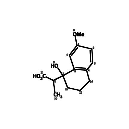 COc1ccc2c(c1)C(O)(C(C)C(=O)O)CCC2